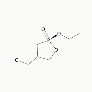 CCO[P@]1(=O)CC(CO)CO1